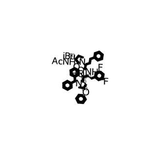 CC[C@@H](C)C1(NC(C)=O)CCN(C(CCc2ccccc2)C(=O)N[C@@H](Cc2cc(F)cc(F)c2)[C@H](O)[C@H]2C[C@H](Oc3ccccc3)CN2C(c2ccccc2)c2ccccc2)C1=O